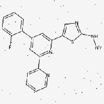 CCCNc1ncc(-c2cc(-c3ccccc3F)nc(-c3ccccn3)n2)s1